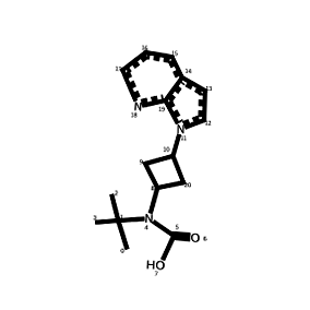 CC(C)(C)N(C(=O)O)C1CC(n2ccc3cccnc32)C1